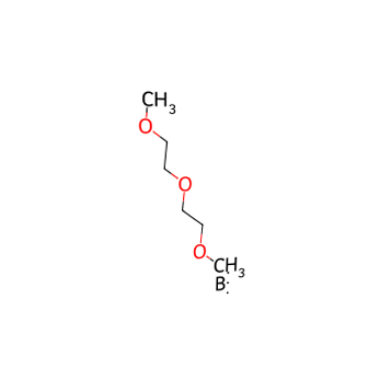 COCCOCCOC.[B]